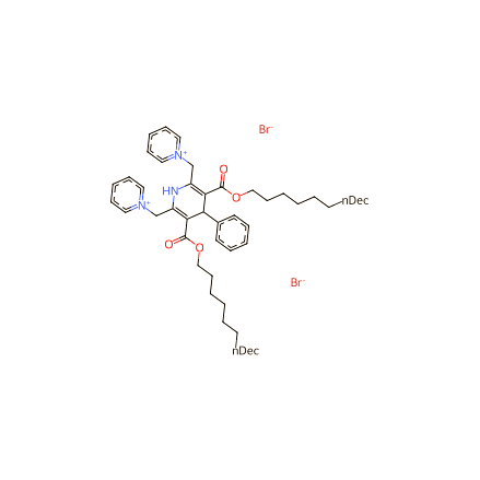 CCCCCCCCCCCCCCCCOC(=O)C1=C(C[n+]2ccccc2)NC(C[n+]2ccccc2)=C(C(=O)OCCCCCCCCCCCCCCCC)C1c1ccccc1.[Br-].[Br-]